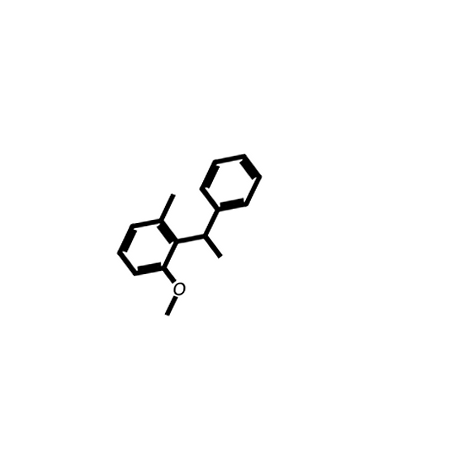 COc1cccc(C)c1C(C)c1ccccc1